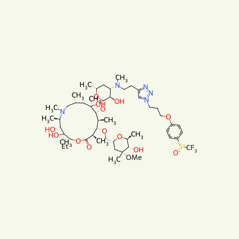 CC[C@H]1OC(=O)[C@H](C)[C@@H](OC[C@H]2C[C@@](C)(OC)[C@@H](O)[C@H](C)O2)[C@H](C)[C@@H](O[C@@H]2O[C@H](C)C[C@H](N(C)CCc3cn(CCCOc4ccc([S+]([O-])C(F)(F)F)cc4)nn3)[C@H]2O)[C@](C)(O)C[C@@H](C)CN(C)[C@H](C)[C@@H](O)[C@]1(C)O